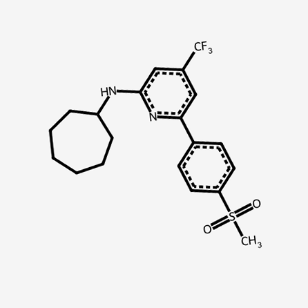 CS(=O)(=O)c1ccc(-c2cc(C(F)(F)F)cc(NC3CCCCCC3)n2)cc1